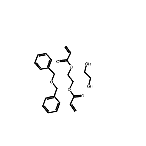 C=CC(=O)OCCOC(=O)C=C.OCCO.c1ccc(COCc2ccccc2)cc1